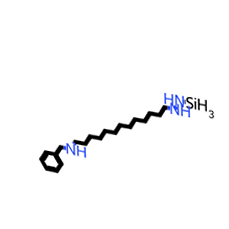 [SiH3]NNCCCCCCCCCCCCCNCc1ccccc1